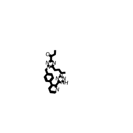 CCCCc1nc(C(=O)CC)nn1Cc1ccc(-c2cccnc2-c2nnn[nH]2)cc1